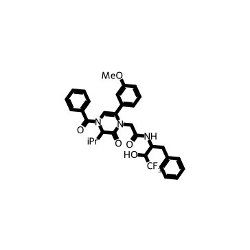 COc1cccc(C2=CN(C(=O)c3ccccc3)C(C(C)C)C(=O)N2CC(=O)NC(Cc2ccccc2)C(O)C(F)(F)F)c1